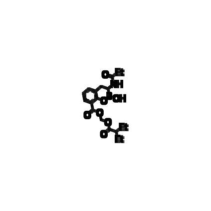 CCC(=O)NC1Cc2cccc(C(=O)OCOC(=O)C(CC)CC)c2OB1O